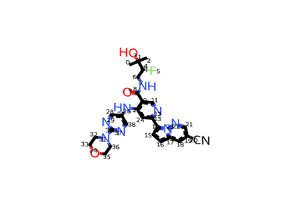 CC(C)(O)[C@H](F)CNC(=O)c1cnc(-c2ccc3cc(C#N)cnn23)cc1Nc1cnc(N2CCOCC2)nc1